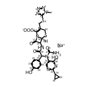 Cn1nnnc1SCC1=C(C(=O)[O-])N2C(=O)C(NC(=O)C(c3ccc(O)cc3)N(C(N)=O)c3cnc(C4CC4)nc3O)[C@@H]2SC1.[Na+]